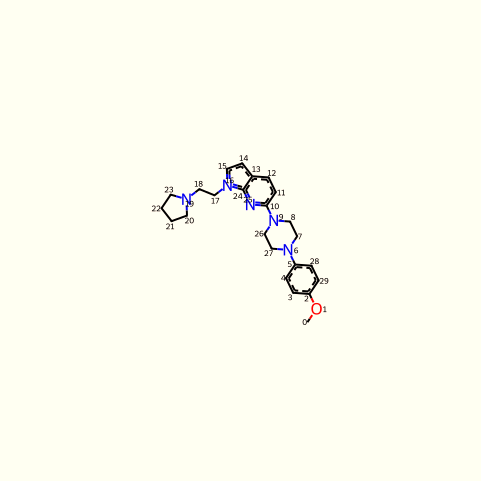 COc1ccc(N2CCN(c3ccc4ccn(CCN5CCCC5)c4n3)CC2)cc1